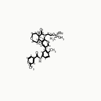 Cc1ccc(NC(=O)c2ccnc(C(F)(F)F)c2)cc1-c1cnc2c(c1)[C@@]1(C)CCOCC[C@@H]1C(=O)N2CCO[Si](C)(C)C(C)(C)C